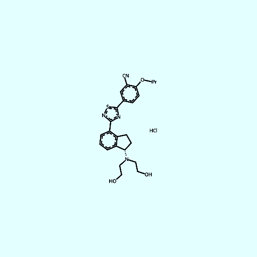 CC(C)Oc1ccc(-c2nc(-c3cccc4c3CC[C@@H]4N(CCO)CCO)ns2)cc1C#N.Cl